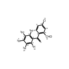 [2H]c1c([2H])c([2H])c(C(=C)c2ccc(Cl)cc2C=O)c([2H])c1[2H]